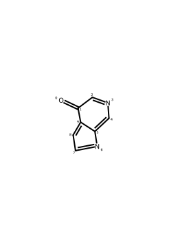 O=C1C=NC=C2N=CC=C12